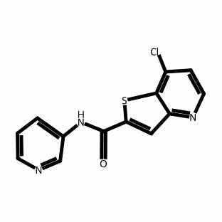 O=C(Nc1cccnc1)c1cc2nccc(Cl)c2s1